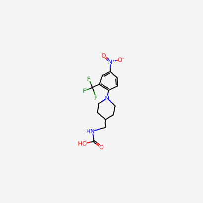 O=C(O)NCC1CCN(c2ccc([N+](=O)[O-])cc2C(F)(F)F)CC1